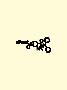 CCCCCC(=O)N1CCc2c(nc(C)n(C(c3ccccc3)c3ccccc3)c2=O)C1